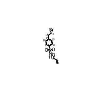 C=CCONS(=O)(=O)c1ccc(CCBr)cc1